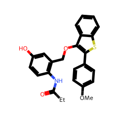 CCC(=O)Nc1ccc(O)cc1COc1c(-c2ccc(OC)cc2)sc2ccccc12